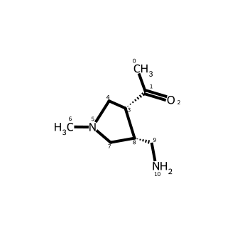 CC(=O)[C@H]1CN(C)C[C@H]1CN